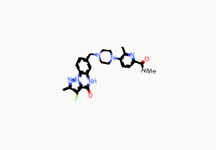 CNC(=O)c1ccc(N2CCN(Cc3ccc4c(c3)[nH]c(=O)c3c(F)c(C)nn34)CC2)c(C)n1